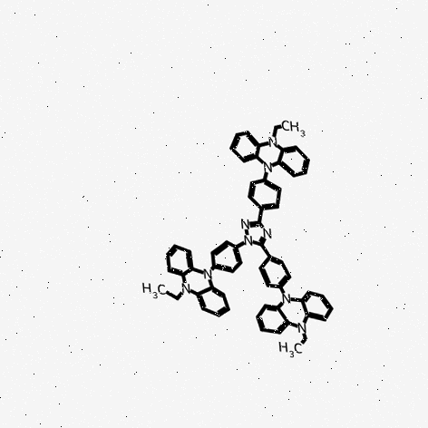 CCN1c2ccccc2N(c2ccc(-c3nc(-c4ccc(N5c6ccccc6N(CC)c6ccccc65)cc4)n(-c4ccc(N5c6ccccc6N(CC)c6ccccc65)cc4)n3)cc2)c2ccccc21